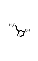 CCCC1CC(O)CCO1